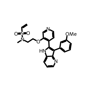 C=CS(=O)(=O)N(C)CCOc1cnccc1-c1[nH]c2cccnc2c1-c1cccc(OC)c1